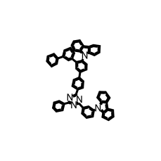 c1ccc(-c2cccc(-c3cc(-c4ccc(-c5nc(-c6ccccc6)nc(-c6cccc(-n7c8ccccc8c8ccccc87)c6)n5)cc4)ccc3-n3c4ccccc4c4ccccc43)c2)cc1